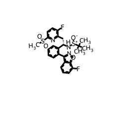 CC(C)(C)[S+]([O-])N[C@@H](Cc1nc(S(C)(=O)=O)ccc1F)c1ccccc1-c1noc2c(F)cccc12